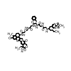 CCCCC(Cc1cnc(S(C)(=O)=O)nc1)NCC(=O)NCC(=O)N[C@@H](Cc1ccccc1)C(=O)NCC(=O)NCOCC(=O)N[C@@H]1CCc2c(C)c(Cl)cc3nc4c(c1c23)Cn1c-4cc2c(c1=O)COC(=O)[C@]2(O)CC